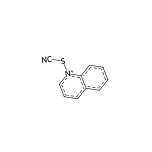 N#CS[n+]1cccc2ccccc21